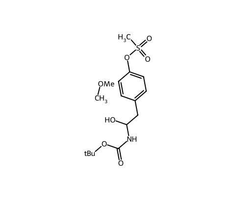 CC(C)(C)OC(=O)NC(O)Cc1ccc(OS(C)(=O)=O)cc1.COC